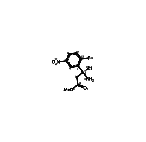 CC[C@](N)(CC(=O)OC)c1cc([N+](=O)[O-])ccc1F